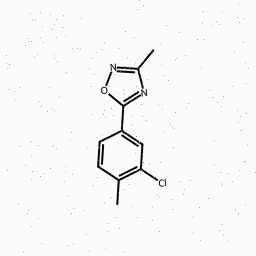 Cc1noc(-c2ccc(C)c(Cl)c2)n1